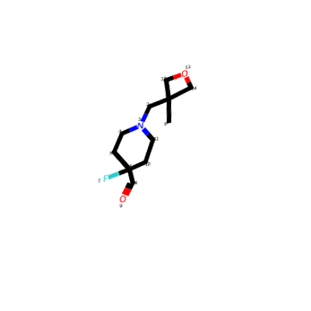 CC1(CN2CCC(F)(C=O)CC2)COC1